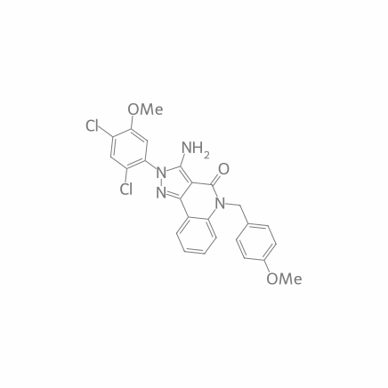 COc1ccc(Cn2c(=O)c3c(N)n(-c4cc(OC)c(Cl)cc4Cl)nc3c3ccccc32)cc1